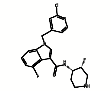 O=C(N[C@H]1CCNC[C@H]1F)c1cn(Cc2ccnc(Cl)c2)c2cccc(F)c12